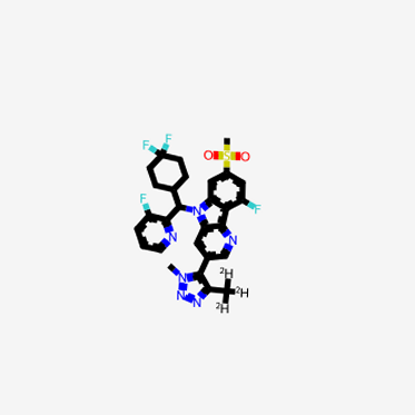 [2H]C([2H])([2H])c1nnn(C)c1-c1cnc2c3c(F)cc(S(C)(=O)=O)cc3n(C(c3ncccc3F)C3CCC(F)(F)CC3)c2c1